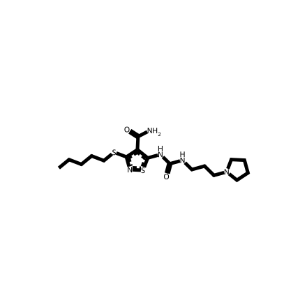 CCCCCSc1nsc(NC(=O)NCCCN2CCCC2)c1C(N)=O